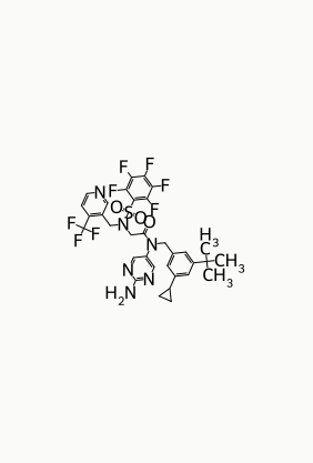 CC(C)(C)c1cc(CN(C(=O)CN(Cc2cnccc2C(F)(F)F)S(=O)(=O)c2c(F)c(F)c(F)c(F)c2F)c2cnc(N)nc2)cc(C2CC2)c1